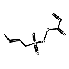 C=CC(=O)OOS(=O)(=O)CC=CC